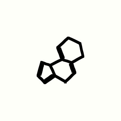 [C]1C=C2CCCC=C2C2C=CC=C12